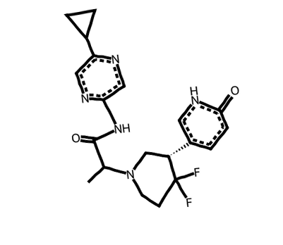 CC(C(=O)Nc1cnc(C2CC2)cn1)N1CCC(F)(F)[C@@H](c2ccc(=O)[nH]c2)C1